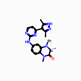 Cc1n[nH]c(C)c1-c1ccnc(Nc2ccc3c(c2)N(C(C)C)[C@H](C)C(=O)N3C)n1